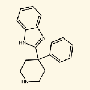 c1ccc(C2(c3nc4ccccc4[nH]3)CCNCC2)cc1